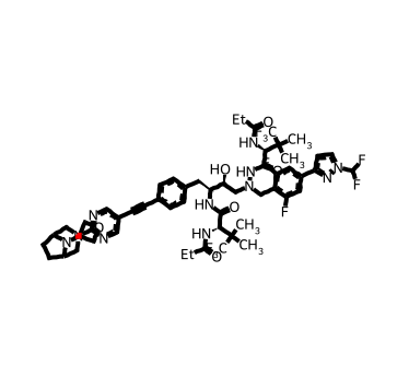 CCC(=O)N[C@H](C(=O)N[C@@H](Cc1ccc(C#Cc2cnc(N3CC4CCC(C3)N4C3COC3)nc2)cc1)[C@@H](O)CN(Cc1c(F)cc(-c2ccn(C(F)F)n2)cc1F)NC(=O)[C@@H](NC(=O)CC)C(C)(C)C(F)(F)F)C(C)(C)C(F)(F)F